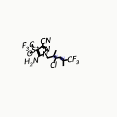 C/C(Cn1nc(C#N)c([S+]([O-])C(F)(F)F)c1N)=C(Cl)\C=C(/C)C(F)(F)F